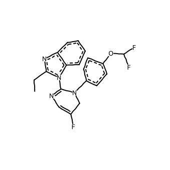 CCc1nc2ccccc2n1C1=NC=C(F)CN1c1ccc(OC(F)F)cc1